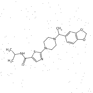 CC(C)NC(=O)c1cnc(N2CCN(C(C)c3ccc4c(c3)OCO4)CC2)s1